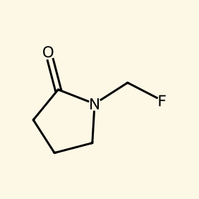 O=C1CCCN1CF